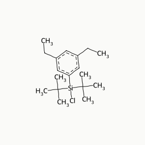 CCc1cc(CC)cc([Si](Cl)(C(C)(C)C)C(C)(C)C)c1